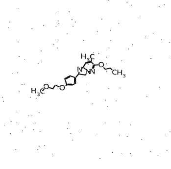 CCCOC1=NN2CC(c3ccc(OCCOC)cc3)N=C2C=C1C